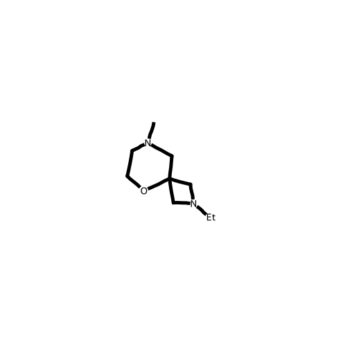 CCN1CC2(CN(C)CCO2)C1